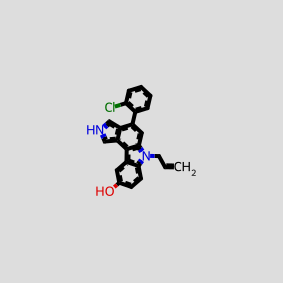 C=CCn1c2ccc(O)cc2c2c3c[nH]cc3c(-c3ccccc3Cl)cc21